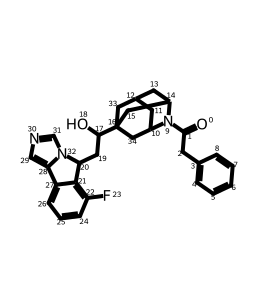 O=C(Cc1ccccc1)N1C2CC3CC1CC(C(O)CC1c4c(F)cccc4-c4cncn41)(C3)C2